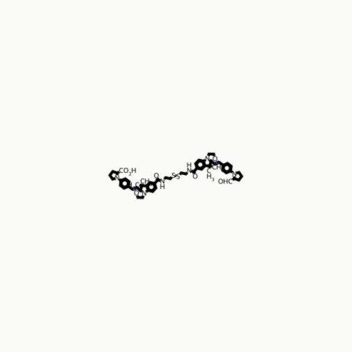 CC1(C)c2cc(C(=O)NCCSSCCNC(=O)c3ccc4c(c3)C(C)(C)C3(/C=C/c5ccc(N6CCCC6C(=O)O)cc5)OCCN43)ccc2N2CCOC21/C=C/c1ccc(N2CCCC2C=O)cc1